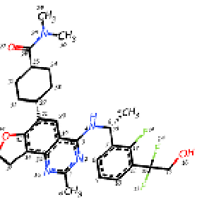 Cc1nc(N[C@H](C)c2cccc(C(F)(F)CO)c2F)c2cc([C@H]3CC[C@H](C(=O)N(C)C)CC3)c3c(c2n1)CCO3